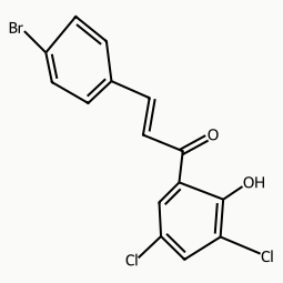 O=C(/C=C/c1ccc(Br)cc1)c1cc(Cl)cc(Cl)c1O